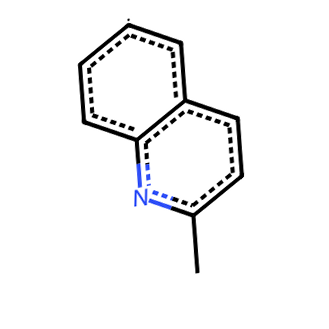 Cc1ccc2c[c]ccc2n1